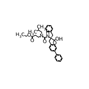 CCOC(=O)CCN(CC(C)C)C(=O)N[C@@](Cc1ccccc1)(Cc1ccc(-c2ccccc2)cc1)C(=O)O